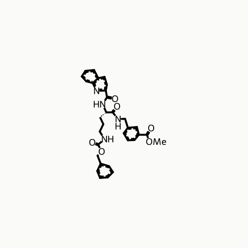 COC(=O)c1cccc(CNC(=O)[C@H](CCCNC(=O)OCc2ccccc2)NC(=O)c2ccc3ccccc3n2)c1